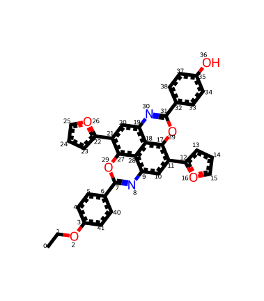 CCOc1ccc(C2=Nc3cc(-c4ccco4)c4c5c(cc(-c6ccco6)c(c35)O2)N=C(c2ccc(O)cc2)O4)cc1